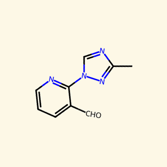 Cc1ncn(-c2ncccc2C=O)n1